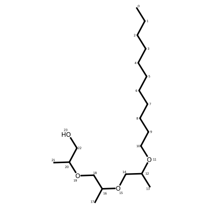 CCCCCCCCCCCOC(C)COC(C)COC(C)CO